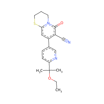 CCOC(C)(C)c1ccc(-c2cc3n(c(=O)c2C#N)CCCS3)cn1